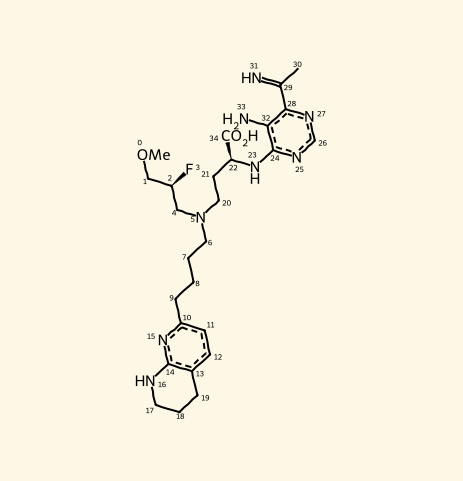 COC[C@@H](F)CN(CCCCc1ccc2c(n1)NCCC2)CC[C@H](Nc1ncnc(C(C)=N)c1N)C(=O)O